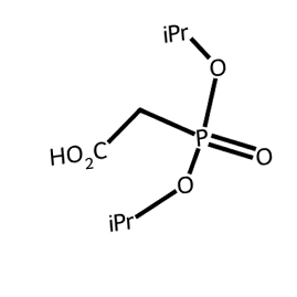 CC(C)OP(=O)(CC(=O)O)OC(C)C